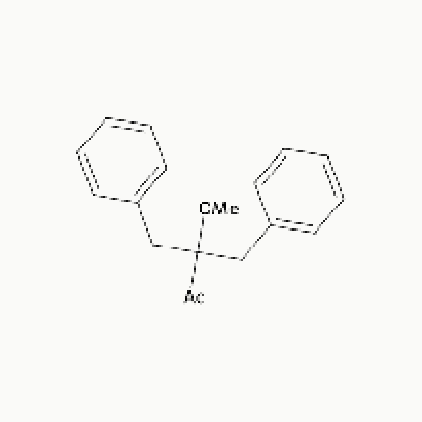 COC(Cc1ccccc1)(Cc1ccccc1)C(C)=O